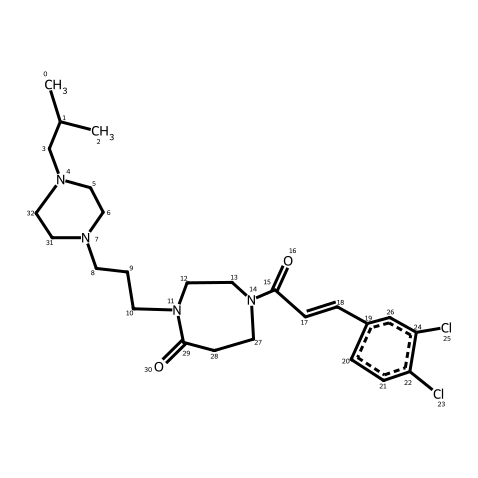 CC(C)CN1CCN(CCCN2CCN(C(=O)/C=C/c3ccc(Cl)c(Cl)c3)CCC2=O)CC1